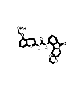 COCOc1cccc2nc(NC(=O)Nc3cccc4c3C3CC5(CCN3C4=O)OCCO5)ccc12